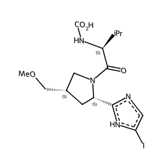 COC[C@H]1C[C@@H](c2ncc(I)[nH]2)N(C(=O)[C@@H](NC(=O)O)C(C)C)C1